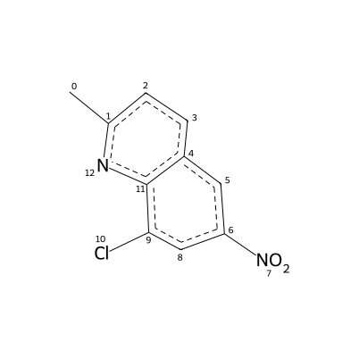 Cc1ccc2cc([N+](=O)[O-])cc(Cl)c2n1